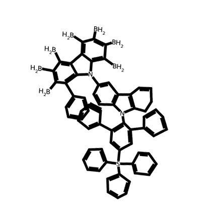 Bc1c(B)c(B)c2c(c1B)c1c(B)c(B)c(B)c(-c3ccccc3)c1n2-c1ccc2c(c1)c1c(n2-c2c(-c3c#cccc3)cc(S(c3ccccc3)(c3ccccc3)c3ccccc3)cc2-c2ccccc2)CCC=C1